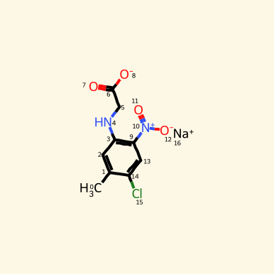 Cc1cc(NCC(=O)[O-])c([N+](=O)[O-])cc1Cl.[Na+]